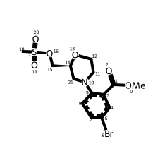 COC(=O)c1cc(Br)ccc1N1CCO[C@H](COS(C)(=O)=O)C1